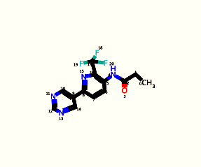 CCC(=O)Nc1ccc(-c2cncnc2)nc1C(F)(F)F